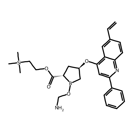 C=Cc1ccc2nc(-c3ccccc3)cc(O[C@H]3CB(OCN)[C@H](C(=O)OCC[Si](C)(C)C)C3)c2c1